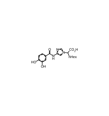 CCCCCCC(C(=O)O)n1cnc(NC(=O)c2ccc(O)c(O)c2)c1